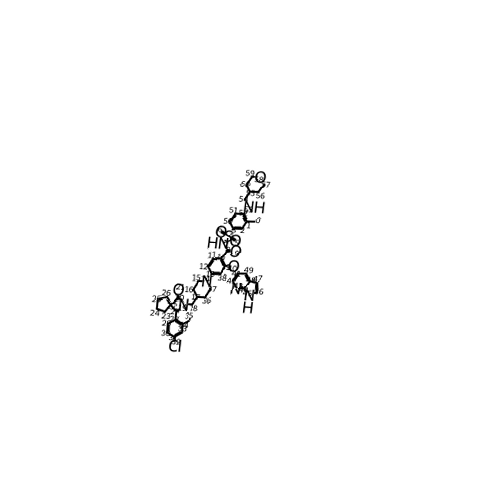 Cc1cc(S(=O)(=O)NC(=O)c2ccc(N3CCC(CN4C(=O)C5(CCCC5)C4c4ccc(Cl)cc4C)CC3)cc2Oc2cnc3[nH]ccc3c2)ccc1NCC1CCOCC1